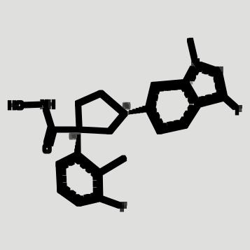 Cc1c(F)cccc1[C@]1(C(=O)NO)CC[C@H](c2ccc3c(F)nn(C)c3c2)C1